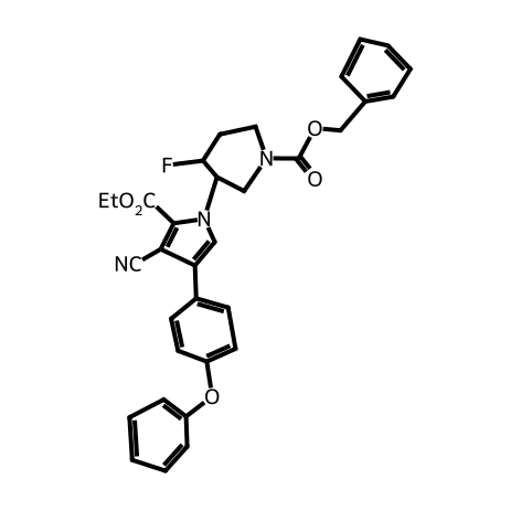 CCOC(=O)c1c(C#N)c(-c2ccc(Oc3ccccc3)cc2)cn1C1CN(C(=O)OCc2ccccc2)CCC1F